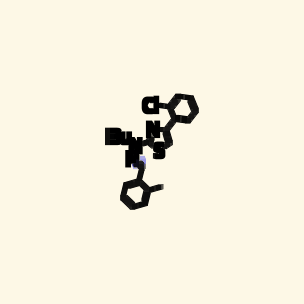 CCC(C)N(/N=C/c1ccccc1C)c1nc(-c2ccccc2Cl)cs1